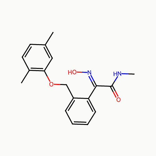 CNC(=O)/C(=N/O)c1ccccc1COc1cc(C)ccc1C